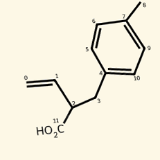 C=CC(Cc1ccc(C)cc1)C(=O)O